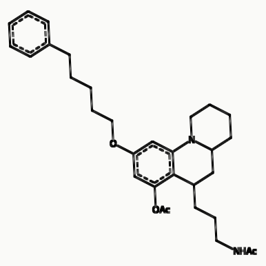 CC(=O)NCCCC1CC2CCCCN2c2cc(OCCCCCc3ccccc3)cc(OC(C)=O)c21